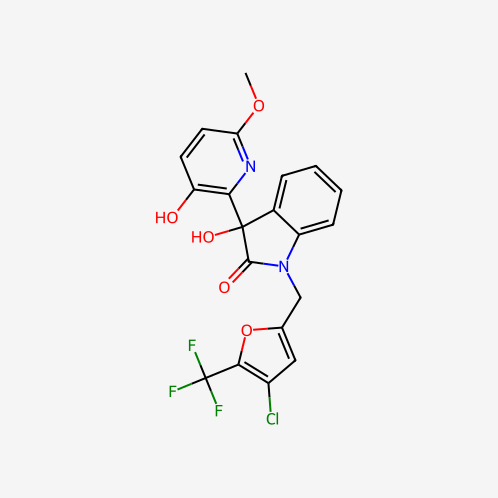 COc1ccc(O)c(C2(O)C(=O)N(Cc3cc(Cl)c(C(F)(F)F)o3)c3ccccc32)n1